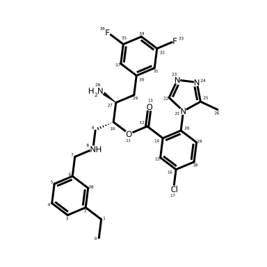 CCc1cccc(CNC[C@@H](OC(=O)c2cc(Cl)ccc2-n2cnnc2C)[C@@H](N)Cc2cc(F)cc(F)c2)c1